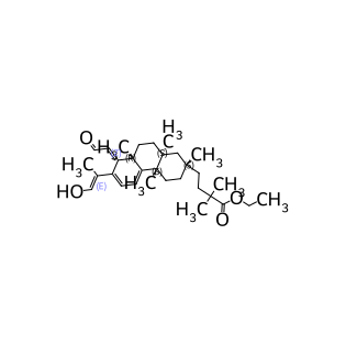 CCOC(=O)C(C)(C)CC[C@]1(C)CC[C@]2(C)C3=CC=C(/C(C)=C/O)/C(=C\C=O)[C@]3(C)CC[C@@]2(C)C1